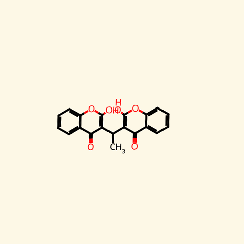 CC(c1c(O)oc2ccccc2c1=O)c1c(O)oc2ccccc2c1=O